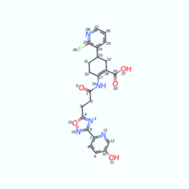 O=C(CCc1nc(-c2ccc(O)cn2)no1)NC1=C(C(=O)O)CC(c2cccnc2F)CC1